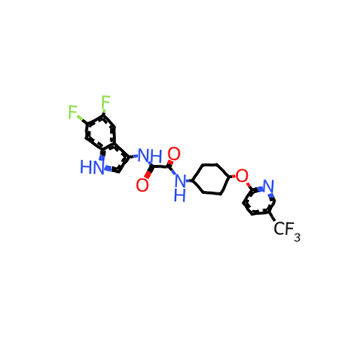 O=C(Nc1c[nH]c2cc(F)c(F)cc12)C(=O)NC1CCC(Oc2ccc(C(F)(F)F)cn2)CC1